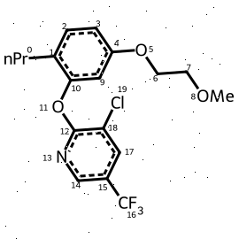 [CH2]CCc1ccc(OCCOC)cc1Oc1ncc(C(F)(F)F)cc1Cl